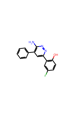 Nc1nnc(-c2cc(F)ccc2O)cc1-c1ccccc1